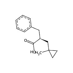 CC1(C[C@H](Cc2ccccc2)C(=O)O)CC1